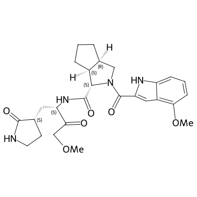 COCC(=O)[C@H](C[C@@H]1CCNC1=O)NC(=O)[C@@H]1[C@H]2CCC[C@H]2CN1C(=O)c1cc2c(OC)cccc2[nH]1